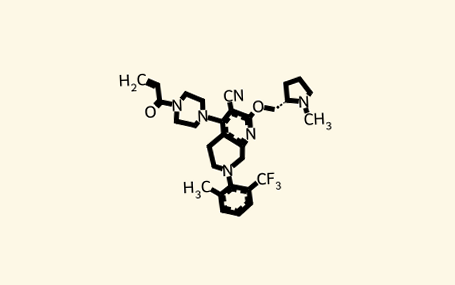 C=CC(=O)N1CCN(c2c(C#N)c(OC[C@@H]3CCCN3C)nc3c2CCN(c2c(C)cccc2C(F)(F)F)C3)CC1